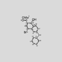 COC(=O)c1nc(Br)c2cc(Cc3ccccc3)ccc2c1O